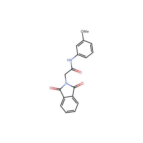 COc1cccc(NC(=O)CN2C(=O)c3ccccc3C2=O)c1